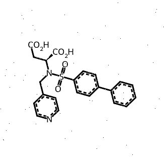 O=C(O)C[C@@H](C(=O)O)N(Cc1ccncc1)S(=O)(=O)c1ccc(-c2ccccc2)cc1